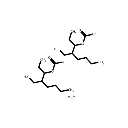 CCCCC(CC)C(CC)OC(=O)[O-].CCCCC(CC)C(CC)OC(=O)[O-].[Mg+2]